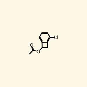 CC(=O)OC1Cc2c(Cl)cccc21